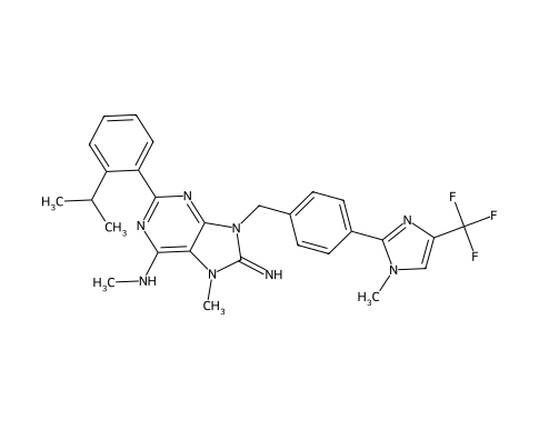 CNc1nc(-c2ccccc2C(C)C)nc2c1n(C)c(=N)n2Cc1ccc(-c2nc(C(F)(F)F)cn2C)cc1